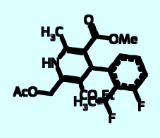 CCOC(=O)C1=C(COC(C)=O)NC(C)=C(C(=O)OC)C1c1cccc(F)c1C(C)F